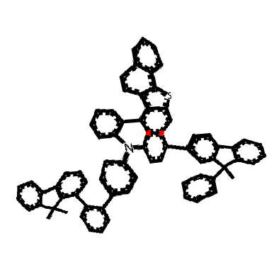 CC1(C)c2ccccc2-c2cccc(-c3ccccc3-c3ccc(N(c4ccc(-c5ccc6c(c5)C(C)(c5ccccc5)c5ccccc5-6)cc4)c4ccccc4-c4cccc5sc6c7ccccc7ccc6c45)cc3)c21